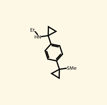 CCNC1(c2ccc(C3(SC)CC3)cc2)CC1